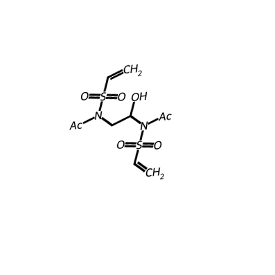 C=CS(=O)(=O)N(CC(O)N(C(C)=O)S(=O)(=O)C=C)C(C)=O